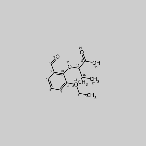 CCOc1cccc(C=O)c1OC(C(=O)O)C(C)C